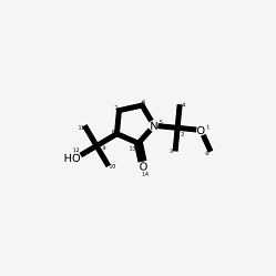 COC(C)(C)N1CCC(C(C)(C)O)C1=O